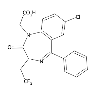 O=C(O)CN1C(=O)C(CC(F)(F)F)N=C(c2ccccc2)c2cc(Cl)ccc21